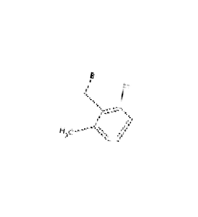 CCc1cccc(C)c1CBr